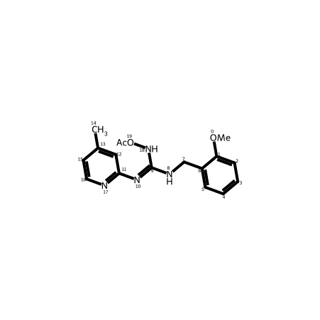 COc1ccccc1CNC(=Nc1cc(C)ccn1)NOC(C)=O